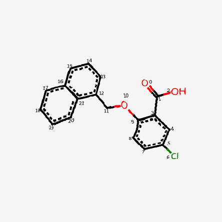 O=C(O)c1cc(Cl)ccc1OCc1cccc2ccccc12